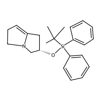 CC(C)(C)[Si](O[C@H]1CC2=CCCN2C1)(c1ccccc1)c1ccccc1